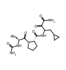 CC(C)(C)[C@H](NC(N)=O)C(=O)N1CCC[C@H]1C(=O)NC(CC1CC1)C(=O)C(N)=O